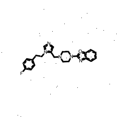 Fc1ccc(CCn2cncc2CN2CCN(c3nc4ccccc4o3)CC2)cc1